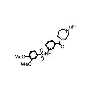 CCCN1CCCN(C(=O)c2cccc(NS(=O)(=O)c3ccc(OC)c(OC)c3)c2)CC1